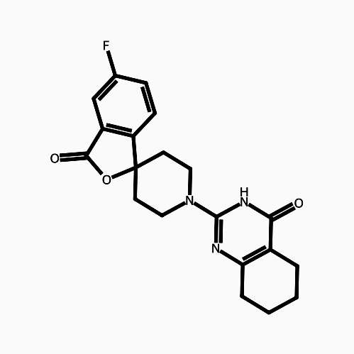 O=C1OC2(CCN(c3nc4c(c(=O)[nH]3)CCCC4)CC2)c2ccc(F)cc21